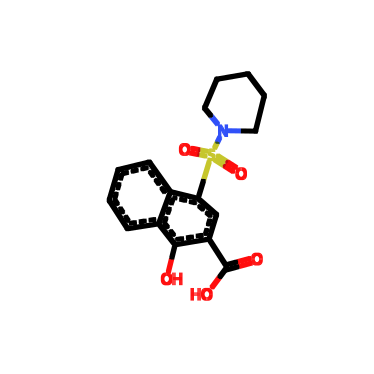 O=C(O)c1cc(S(=O)(=O)N2CCCCC2)c2ccccc2c1O